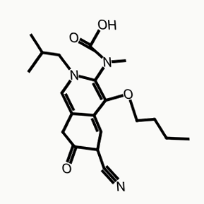 CCCCOC1=C(N(C)C(=O)O)N(CC(C)C)C=C2CC(=O)C(C#N)C=C21